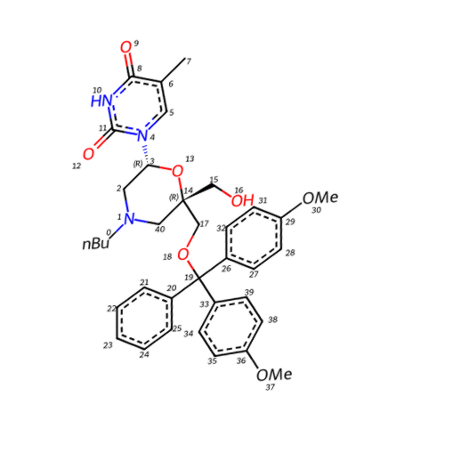 CCCCN1C[C@H](n2cc(C)c(=O)[nH]c2=O)O[C@](CO)(COC(c2ccccc2)(c2ccc(OC)cc2)c2ccc(OC)cc2)C1